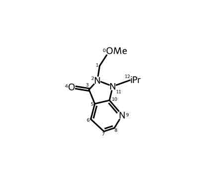 COCn1c(=O)c2cccnc2n1C(C)C